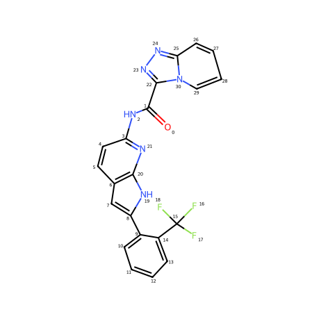 O=C(Nc1ccc2cc(-c3ccccc3C(F)(F)F)[nH]c2n1)c1nnc2ccccn12